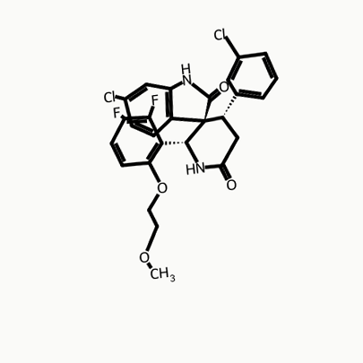 COCCOc1ccc(F)c(F)c1[C@H]1NC(=O)C[C@@H](c2cccc(Cl)c2)[C@]12C(=O)Nc1cc(Cl)ccc12